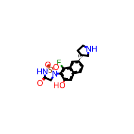 O=C1CN(c2c(O)cc3ccc([C@@H]4CCNC4)cc3c2F)S(=O)(=O)N1